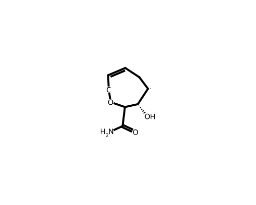 NC(=O)C1OC/C=C\C[CH][C@@H]1O